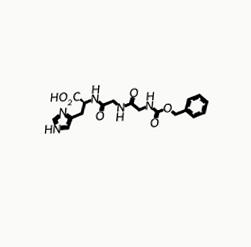 O=C(CNC(=O)OCc1ccccc1)NCC(=O)N[C@@H](Cc1c[nH]cn1)C(=O)O